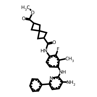 COC(=O)C1CC2(CC(C(=O)Nc3ccc(Nc4nc(-c5ccccc5)ccc4N)c(C)c3F)C2)C1